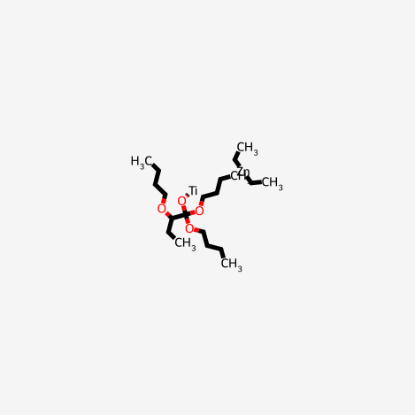 CCCCOC(CC)C([O][Ti])(OCCCC)OCCCC.C[CH2][Zn][CH2]C